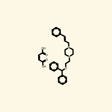 C(=C\c1ccccc1)/CN1CCN(CCOC(c2ccccc2)c2ccccc2)CC1.O=C(O)/C=C\C(=O)O